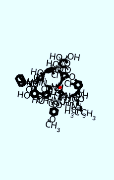 CCOc1ccc(S(=O)(=O)NC(=O)C[C@@H]2NC(=O)[C@H](NC(=O)[C@@H](CC(C)C)NC)[C@H](O)c3ccc(c(Cl)c3)Oc3cc4cc(c3O[C@@H]3O[C@H](CO)[C@@H](O)[C@H](O)[C@H]3O)Oc3ccc(cc3Cl)[C@@H](O)[C@@H]3NC(=O)[C@H](NC(=O)[C@@H]4NC2=O)c2ccc(O)c(c2)-c2c(O)cc(O)cc2[C@@H](C(=O)NC2C4CC5CC(C4)CC2C5)NC3=O)cc1